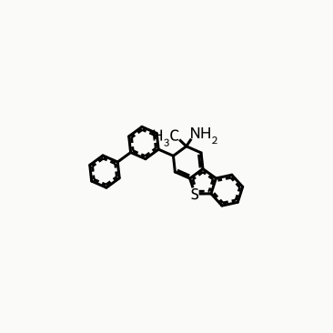 CC1(N)C=c2c(sc3ccccc23)=CC1c1cccc(-c2ccccc2)c1